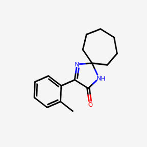 Cc1ccccc1C1=NC2(CCCCCC2)NC1=O